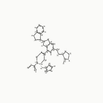 C=CC(=O)N1CCN(c2nc(OCC3CCCN3C)nc3c2CN(C2CCc4ccccc42)C3)C[C@@H]1Cc1ncc[nH]1